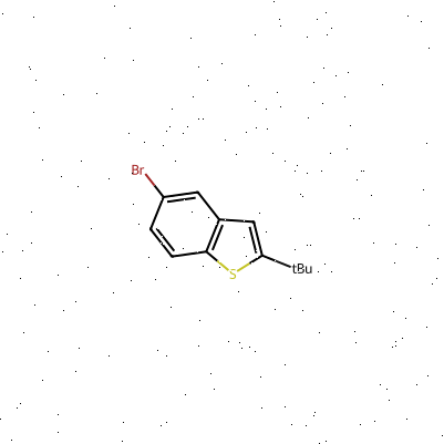 CC(C)(C)c1cc2cc(Br)ccc2s1